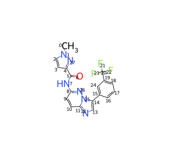 Cn1ccc(C(=O)Nc2ccc3ncc(-c4cccc(C(F)(F)F)c4)n3n2)n1